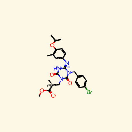 COC(=O)[C@@H](C)Cn1c(=O)[nH]/c(=N\c2ccc(OC(C)C)c(C)c2)n(Cc2ccc(Br)cc2)c1=O